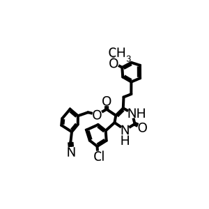 COc1cccc(CCC2=C(C(=O)OCc3cccc(C#N)c3)C(c3cccc(Cl)c3)NC(=O)N2)c1